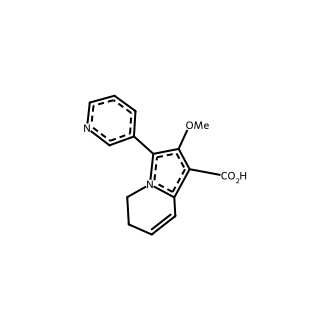 COc1c(C(=O)O)c2n(c1-c1cccnc1)CCC=C2